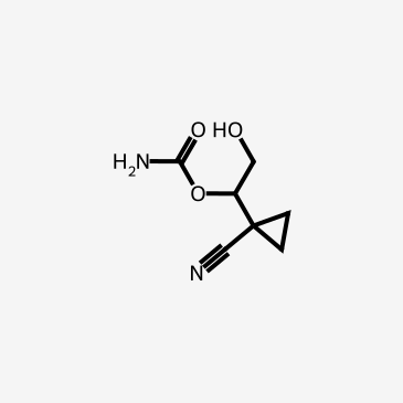 N#CC1(C(CO)OC(N)=O)CC1